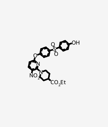 CCOC(=O)C1CCN(c2nc(Oc3ccc(S(=O)(=O)c4ccc(O)cc4)cc3)ccc2[N+](=O)[O-])CC1